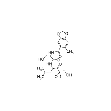 Cc1cc2c(cc1C(=O)N[C@@H](CO)C(=O)NC(CC(C)C)C(=O)[C@@]1(CO)CO1)OCO2